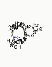 CC[C@@H]1CC/C=C/[C@H](O[C@H](C)C(=O)O)[C@@H]2CC[C@H]2CN2CCCCc3cc(Cl)ccc3COc3ccc(cc32)C(O)NS1(=O)=O